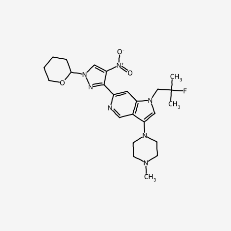 CN1CCN(c2cn(CC(C)(C)F)c3cc(-c4nn(C5CCCCO5)cc4[N+](=O)[O-])ncc23)CC1